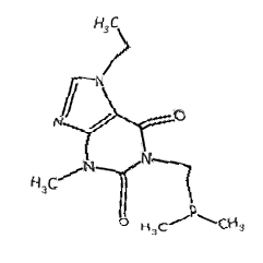 CCn1cnc2c1c(=O)n(CP(C)C)c(=O)n2C